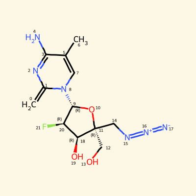 C=C1N=C(N)C(C)=CN1[C@@H]1O[C@@](CO)(CN=[N+]=[N-])[C@@H](O)[C@H]1F